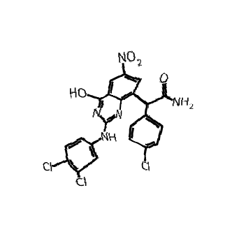 NC(=O)C(c1ccc(Cl)cc1)c1cc([N+](=O)[O-])cc2c(O)nc(Nc3ccc(Cl)c(Cl)c3)nc12